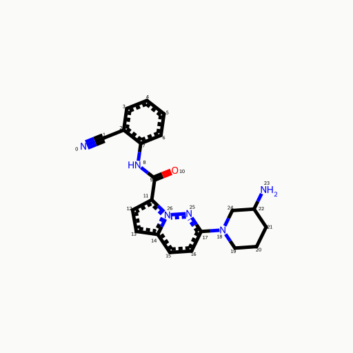 N#Cc1ccccc1NC(=O)c1ccc2ccc(N3CCCC(N)C3)nn12